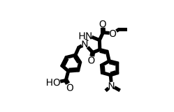 CCOC(=O)C1NN(Cc2ccc(C(=O)O)cc2)C(=O)C1=Cc1ccc(N(C)C)cc1